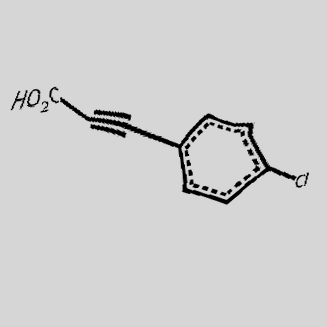 O=C(O)C#Cc1ccc(Cl)cc1